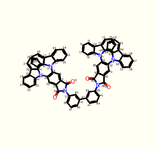 O=C1c2cc(-n3c4ccccc4c4ccccc43)c(-n3c4ccccc4c4ccccc43)cc2C(=O)N1c1cccc(-c2cccc(N3C(=O)c4cc(-n5c6ccccc6c6ccccc65)c(-n5c6ccccc6c6ccccc65)cc4C3=O)c2)c1